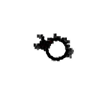 C=CCOC(=O)N[C@@H]1[C@H](O)[C@H](O[C@H]2/C=C/C=C/C=C/C=C/C=C/C=C/C=C/[C@H](C)[C@@H](O)[C@@H](C)[C@H](C)OC(=O)C[C@H](O)C[C@H](O)CC[C@@H](O)[C@H](O)C[C@H](O)C[C@]3(O)C[C@H](O)[C@@H](C(=O)OCC=C)[C@H](C2)O3)O[C@H](C)[C@H]1O